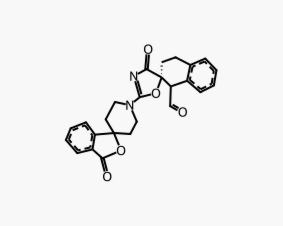 O=CC1c2ccccc2CC[C@@]12OC(N1CCC3(CC1)OC(=O)c1ccccc13)=NC2=O